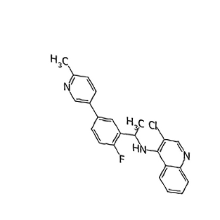 Cc1ccc(-c2ccc(F)c(C(C)Nc3c(Cl)cnc4ccccc34)c2)cn1